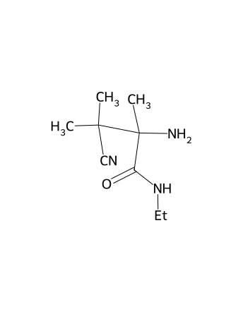 CCNC(=O)C(C)(N)C(C)(C)C#N